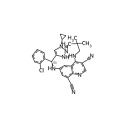 CC(C)(C)CNc1c(C#N)cnc2c(C#N)cc(N[C@H](C3=CN(C4CC4)NN3)c3ccccc3Cl)cc12